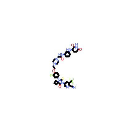 N#Cc1ncc(N2C(=O)C3(CCC3)N(c3ccc(OCCN4CCN(CC(=O)Nc5cccc(NC6CCC(=O)NC6=O)c5)CC4)c(F)c3)C2=S)cc1C(F)(F)F